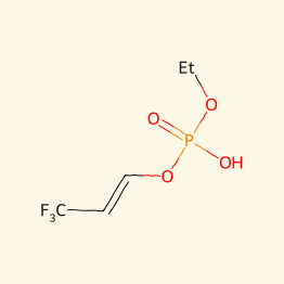 CCOP(=O)(O)OC=CC(F)(F)F